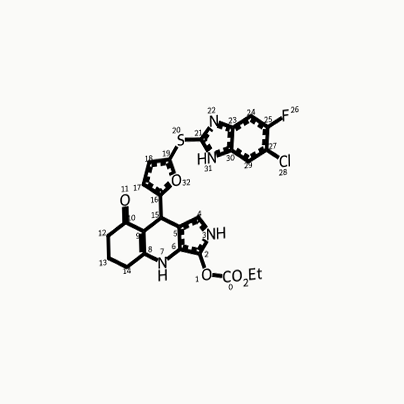 CCOC(=O)Oc1[nH]cc2c1NC1=C(C(=O)CCC1)C2c1ccc(Sc2nc3cc(F)c(Cl)cc3[nH]2)o1